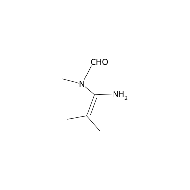 CC(C)=C(N)N(C)C=O